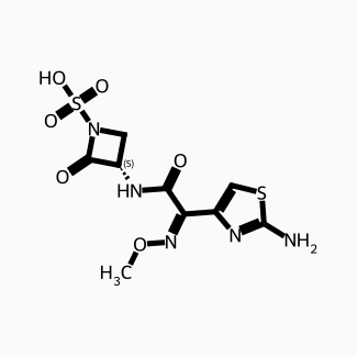 CON=C(C(=O)N[C@H]1CN(S(=O)(=O)O)C1=O)c1csc(N)n1